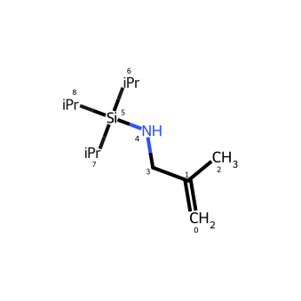 C=C(C)CN[Si](C(C)C)(C(C)C)C(C)C